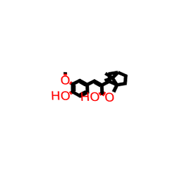 COc1cc(C=C(C(=O)O)C2CC3CCC2(C)C3(C)C)ccc1O